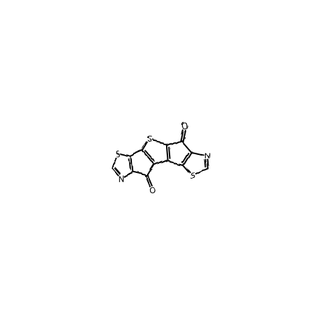 O=c1c2ncsc2c2c1sc1c3scnc3c(=O)c12